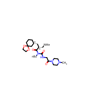 CCCCN(C(=O)NCC(=O)N1CCN(C)CC1)C(=O)[C@@H](CNC)C[C@H]1CCCC2(C1)OCCO2